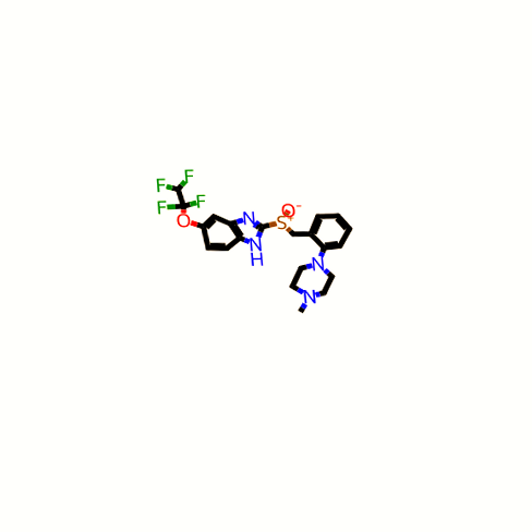 CN1CCN(c2ccccc2C[S+]([O-])c2nc3cc(OC(F)(F)C(F)F)ccc3[nH]2)CC1